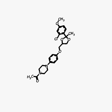 COc1ccc(C2(C)OCC(COc3ccc(N4CCN(C(C)=O)CC4)cc3)O2)c(Cl)c1